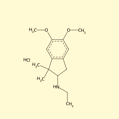 CCNC1Cc2cc(OC)c(OC)cc2C1(C)C.Cl